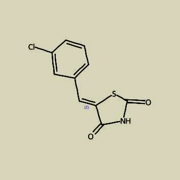 O=C1NC(=O)/C(=C/c2cccc(Cl)c2)S1